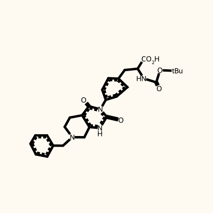 CC(C)(C)OC(=O)NC(Cc1ccc(-n2c(=O)[nH]c3c(c2=O)CCN(Cc2ccccc2)C3)cc1)C(=O)O